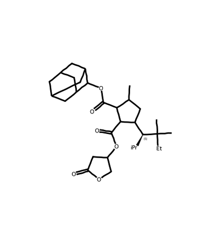 CCC(C)(C)[C@@H](C(C)C)C1CC(C)C(C(=O)OC2C3CC4CC(C3)CC2C4)C1C(=O)OC1COC(=O)C1